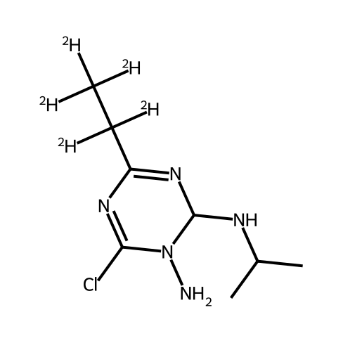 [2H]C([2H])([2H])C([2H])([2H])C1=NC(NC(C)C)N(N)C(Cl)=N1